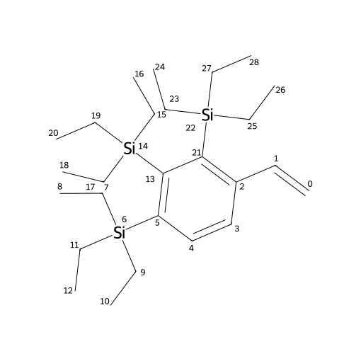 C=Cc1ccc([Si](CC)(CC)CC)c([Si](CC)(CC)CC)c1[Si](CC)(CC)CC